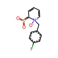 O=S(=O)=C1C=CC=C[N+]1([O-])Cc1ccc(F)cc1